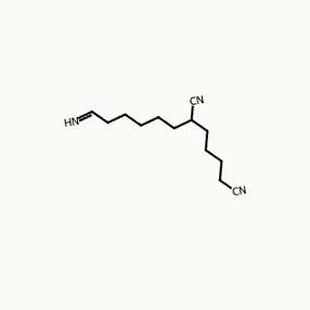 N#CCCCCC(C#N)CCCCCC=N